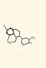 CCN1c2c(F)cc(F)cc2CCC1N1CCNC(C)C1